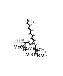 CO[SiH](OC)C(C)CCN(CCCCCCCCN)CCC(C)[SiH](OC)OC